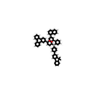 CC1(C)c2ccccc2-c2ccc(-c3ccc(N(c4ccc(-c5ccc6c7ccccc7c7ccccc7c6c5)cc4)c4ccccc4-c4cccc(-c5cccc6ccccc56)c4)cc3)cc21